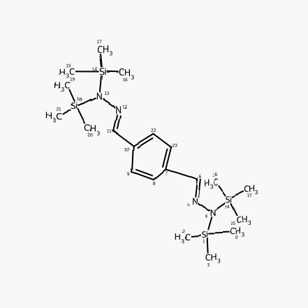 C[Si](C)(C)N(/N=C/c1ccc(/C=N/N([Si](C)(C)C)[Si](C)(C)C)cc1)[Si](C)(C)C